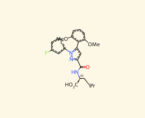 COc1cccc(OC)c1-c1cc(C(=O)N[C@@H](CC(C)C)C(=O)O)nn1-c1cccc(F)c1